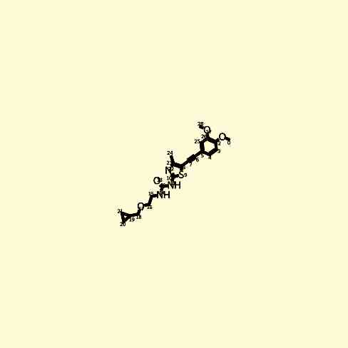 COc1ccc(C#Cc2sc(NC(=O)NCCOCC3CC3)nc2C)cc1OC